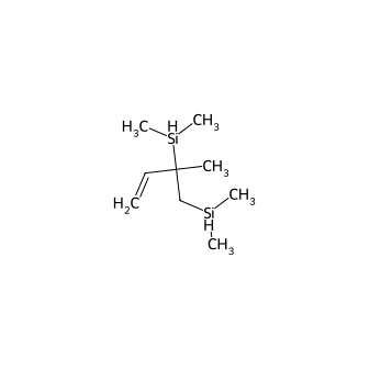 C=CC(C)(C[SiH](C)C)[SiH](C)C